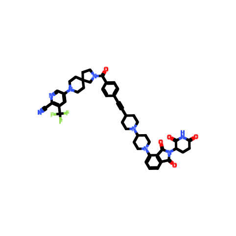 N#Cc1ncc(N2CCC3(CCN(C(=O)c4ccc(C#CC5CCN(C6CCN(c7cccc8c7C(=O)N(C7CCC(=O)NC7=O)C8=O)CC6)CC5)cc4)C3)CC2)cc1C(F)(F)F